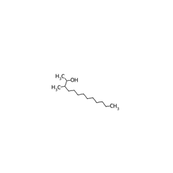 CCCCCCCCCCC(C)C(C)O